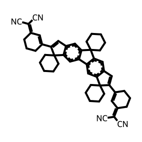 N#CC(C#N)=C1C=C(C2=Cc3cc4c(cc3C23CCCCC3)-c2cc3c(cc2C42CCCCC2)C=C(C2=CC(=C(C#N)C#N)CCC2)C32CCCCC2)CCC1